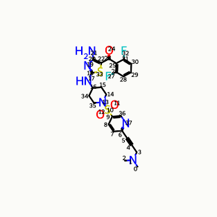 CN(C)CC#Cc1ccc(S(=O)(=O)N2CCC(Nc3nc(N)c(C(=O)c4c(F)cccc4F)s3)CC2)cn1